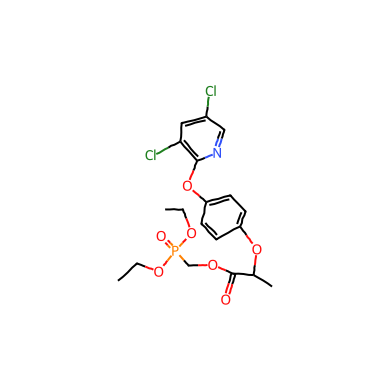 CCOP(=O)(COC(=O)C(C)Oc1ccc(Oc2ncc(Cl)cc2Cl)cc1)OCC